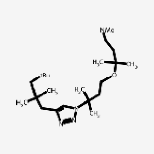 CNCCC(C)(C)OCCC(C)(C)n1cc(CC(C)(C)CC(C)(C)C)nn1